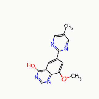 COc1cc(-c2ncc(C)cn2)cc2c(O)ncnc12